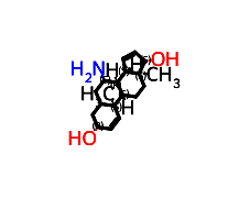 C[C@]12CC[C@H]3[C@@H]([C@@H](N)CC4C[C@@H](O)C=C[C@@]43C)[C@@H]1C=C[C@@H]2O